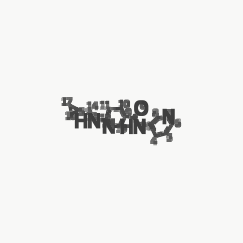 O=C(Nc1cccnc1)c1ccc(NCC2CC2)nc1